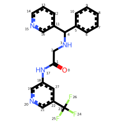 O=C(CNC(c1ccccc1)c1cccnc1)Nc1cncc(C(F)(F)F)c1